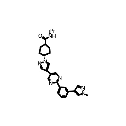 CC(C)NC(=O)[C@H]1CC[C@H](n2cc(-c3cnc(-c4cccc(-c5cnn(C)c5)c4)nc3)cn2)CC1